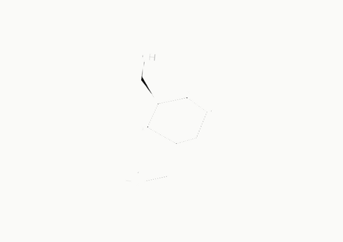 CC[C@H]1CCC[C@H](CC)C1